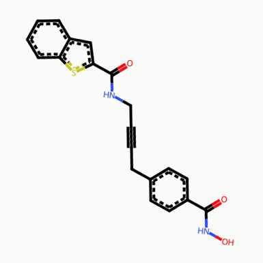 O=C(NO)c1ccc(CC#CCNC(=O)c2cc3ccccc3s2)cc1